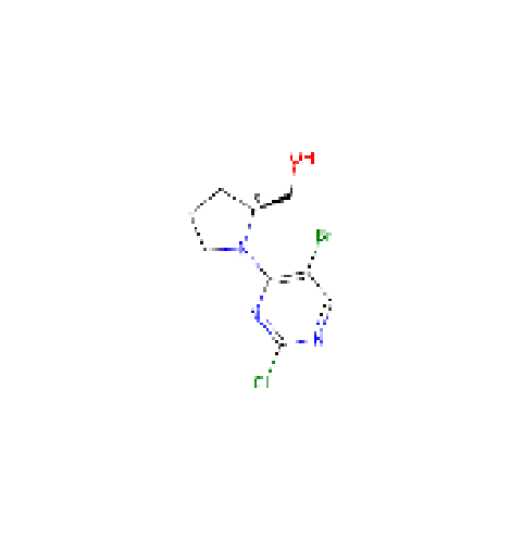 OC[C@@H]1CCCN1c1nc(Cl)ncc1Br